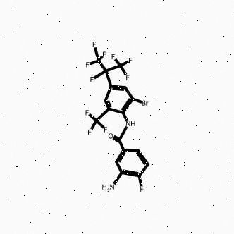 Nc1cc(C(=O)Nc2c(Br)cc(C(F)(C(F)(F)F)C(F)(F)F)cc2C(F)(F)F)ccc1F